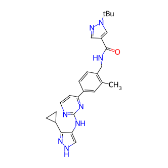 Cc1cc(-c2ccnc(Nc3c[nH]nc3C3CC3)n2)ccc1CNC(=O)c1cnn(C(C)(C)C)c1